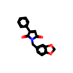 O=C1C=C(c2ccccc2)C(=O)N1Cc1ccc2c(c1)OCO2